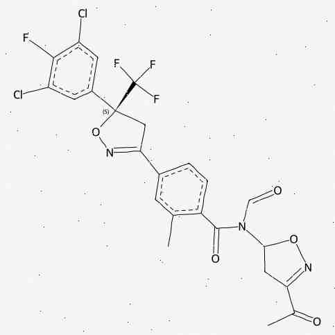 CC(=O)C1=NOC(N(C=O)C(=O)c2ccc(C3=NO[C@@](c4cc(Cl)c(F)c(Cl)c4)(C(F)(F)F)C3)cc2C)C1